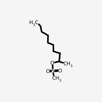 CCCCCCCCC(C)OS(C)(=O)=O